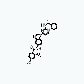 COc1ccc(C(=O)Nc2ccc3c(c2)ncn3-c2ccnc(N[C@@H](C)c3ccccc3)n2)c(OC)c1